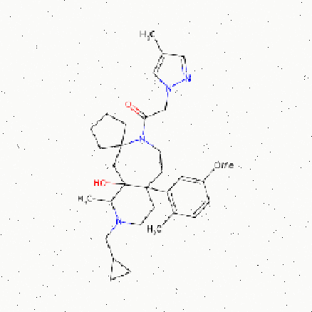 COc1ccc(C)c(C23CCN(CC4CC4)C(C)C2(O)CC2(CCCC2)N(C(=O)Cn2cc(C)cn2)CC3)c1